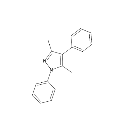 Cc1nn(-c2ccccc2)c(C)c1-c1ccccc1